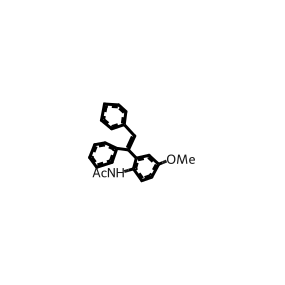 COc1ccc(NC(C)=O)c(C(=Cc2ccccc2)c2ccccc2)c1